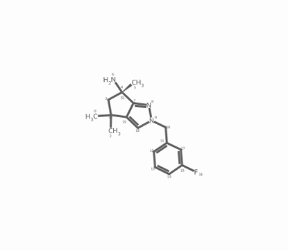 CC1(C)C[C@](C)(N)c2nn(Cc3cccc(F)c3)cc21